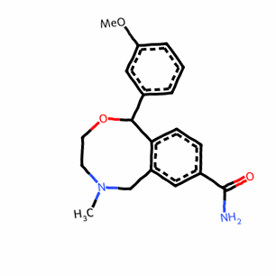 COc1cccc(C2OCCN(C)Cc3cc(C(N)=O)ccc32)c1